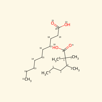 CCCC(C)C(C)(C)C(=O)O.CCCCCCCCCC(=O)O